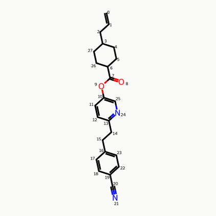 C=CCC1CCC(C(=O)Oc2ccc(CCc3ccc(C#N)cc3)nc2)CC1